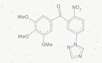 COc1cc(C(=O)c2cc(-n3cncn3)ccc2[N+](=O)[O-])cc(OC)c1OC